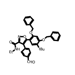 CCNC(=O)c1noc(-c2cc(C(C)(C)C)c(OCc3ccccc3)cc2OCc2ccccc2)c1-c1ccc(C=O)cc1